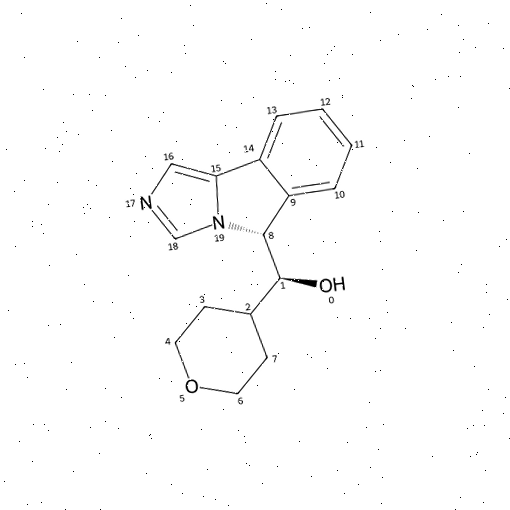 O[C@@H](C1CCOCC1)[C@H]1c2ccccc2-c2cncn21